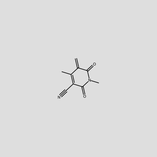 C=C1C(=O)N(C)C(=O)C(C#N)=C1C